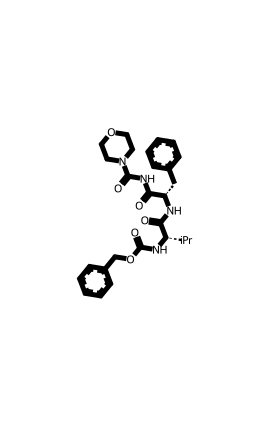 CC(C)[C@H](NC(=O)OCc1ccccc1)C(=O)N[C@@H](Cc1ccccc1)C(=O)NC(=O)N1CCOCC1